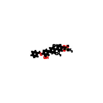 Cc1cc(-c2ccc(OCc3ccccc3)c(O)c2)cc(C)c1-c1ccc(OS(C)(=O)=O)cc1